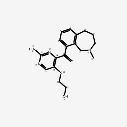 C=C(c1cccc2c1CN(C)CCC2)c1nc(N)ncc1SCCO